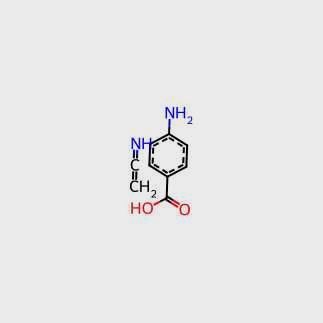 C=C=N.Nc1ccc(C(=O)O)cc1